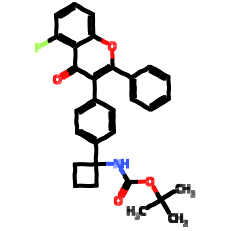 CC(C)(C)OC(=O)NC1(c2ccc(-c3c(-c4ccccc4)oc4cccc(F)c4c3=O)cc2)CCC1